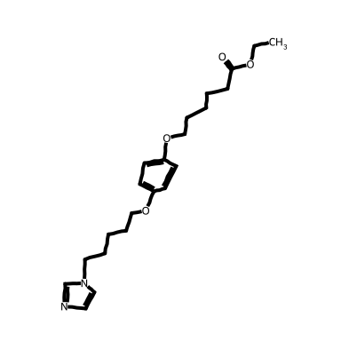 CCOC(=O)CCCCCOc1ccc(OCCCCCn2ccnc2)cc1